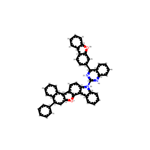 c1ccc(-c2cc3oc4c(ccc5c4c4ccccc4n5-c4nc(-c5ccc6c(c5)oc5ccccc56)c5ccccc5n4)c3c3ccccc23)cc1